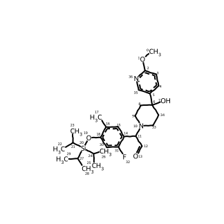 COc1ccc(C2(O)CCN(C(C=O)c3cc(C)c(O[Si](C(C)C)(C(C)C)C(C)C)cc3F)CC2)cn1